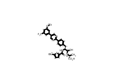 CCOc1cc(-c2cnc(-c3ccc(C[C@H](NC(=O)c4ccc(C(C)(C)C)s4)C(O)N[C@H](C)C(=O)O)cc3)nc2)cc(C(F)(F)F)c1